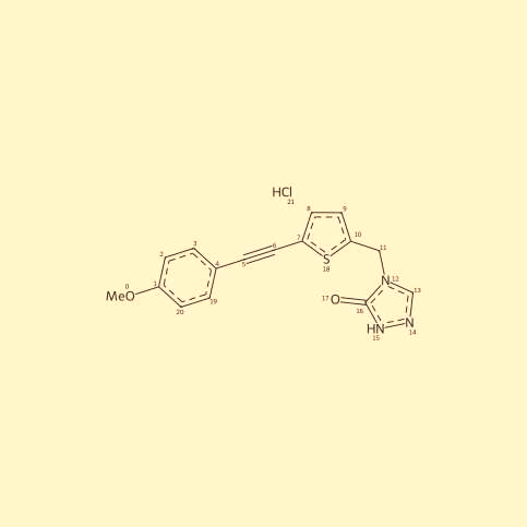 COc1ccc(C#Cc2ccc(Cn3cn[nH]c3=O)s2)cc1.Cl